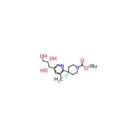 Cc1cc([C@H](O)[C@@H](O)CO)cnc1C1(F)CCN(C(=O)OC(C)(C)C)CC1